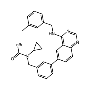 CCCCC(=O)N(Cc1cccc(-c2ccc3ncnc(NCc4cccc(C)c4)c3c2)c1)C1CC1